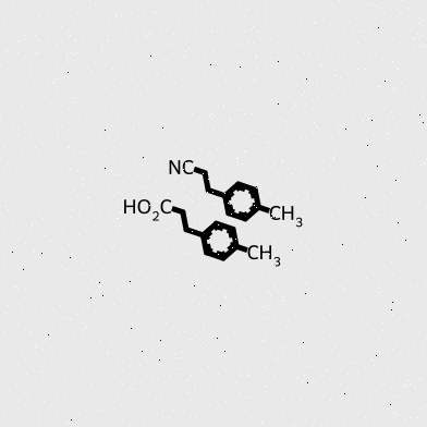 Cc1ccc(CCC#N)cc1.Cc1ccc(CCC(=O)O)cc1